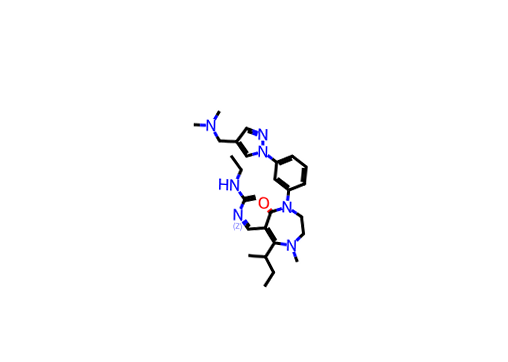 C=C(/N=C\C1=C(C(C)CC)N(C)CCN(c2cccc(-n3cc(CN(C)C)cn3)c2)C1=O)NCC